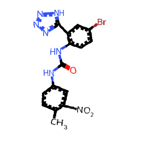 Cc1ccc(NC(=O)Nc2ccc(Br)cc2-c2nnn[nH]2)cc1[N+](=O)[O-]